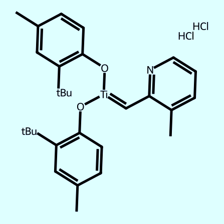 Cc1ccc([O][Ti](=[CH]c2ncccc2C)[O]c2ccc(C)cc2C(C)(C)C)c(C(C)(C)C)c1.Cl.Cl